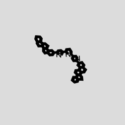 c1cc(-c2ccc(-c3ccc4ccc5c(ccc6c7ccccc7ccc65)c4c3)nc2)nc(-c2ccc(-c3ccc4ccc5c(ccc6c7ccccc7ccc65)c4c3)nc2)c1